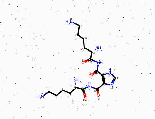 NCCCC[C@H](N)C(=O)NC(=O)c1nc[nH]c1C(=O)NC(=O)[C@@H](N)CCCCN